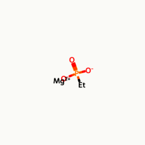 CCP(=O)([O-])[O-].[Mg+2]